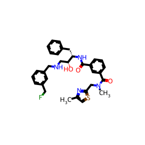 Cc1csc(CN(C)C(=O)c2cccc(C(=O)N[C@@H](Cc3ccccc3)[C@H](O)CNCc3cccc(CF)c3)c2)n1